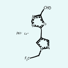 O=Cc1nnc(-c2cnn(CC(F)(F)F)c2)o1.[Li+].[OH-]